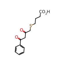 O=C(O)CCCSCC(=O)CC(=O)c1ccccc1